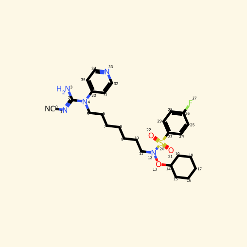 N#CN=C(N)N(CCCCCCCN(OC1CCCCC1)S(=O)(=O)c1ccc(F)cc1)c1ccncc1